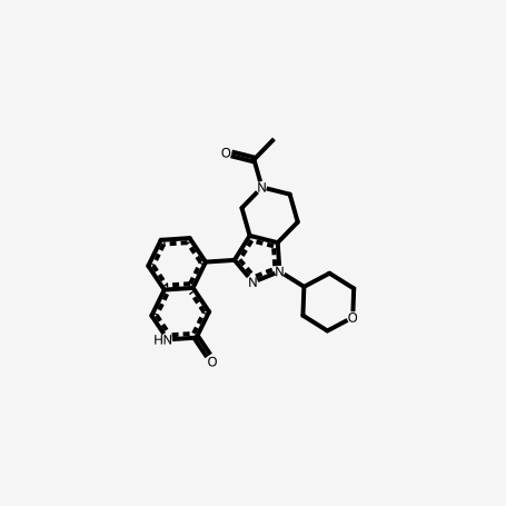 CC(=O)N1CCc2c(c(-c3cccc4c[nH]c(=O)cc34)nn2C2CCOCC2)C1